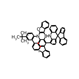 CC(C)(C)c1ccc(N2c3cc4sc5ccccc5c4c4c3B(c3c2oc2ccccc32)N2c3ccccc3C3(c5ccccc5-c5ccccc53)c3cccc-4c32)c(-c2ccccc2)c1